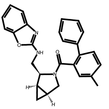 Cc1ccc(-c2ccccc2)c(C(=O)N2C[C@H]3C[C@H]3[C@H]2CNc2nc3ccccc3o2)c1